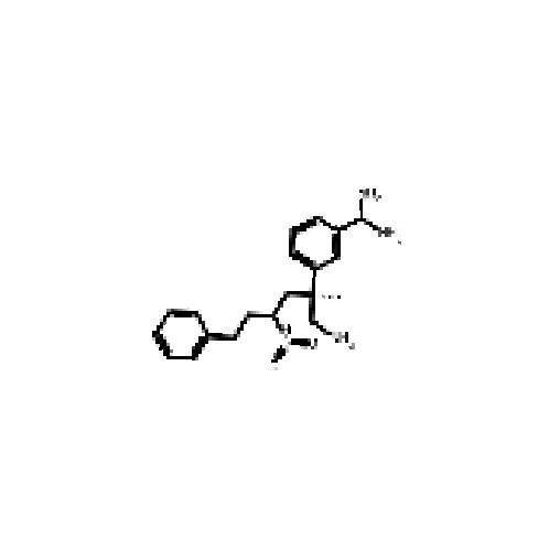 C[C@]([CH]N)(CC(CCc1ccccc1)[SH](=O)=O)c1cccc(C(N)N)c1